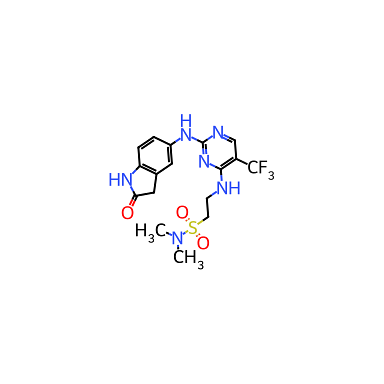 CN(C)S(=O)(=O)CCNc1nc(Nc2ccc3c(c2)CC(=O)N3)ncc1C(F)(F)F